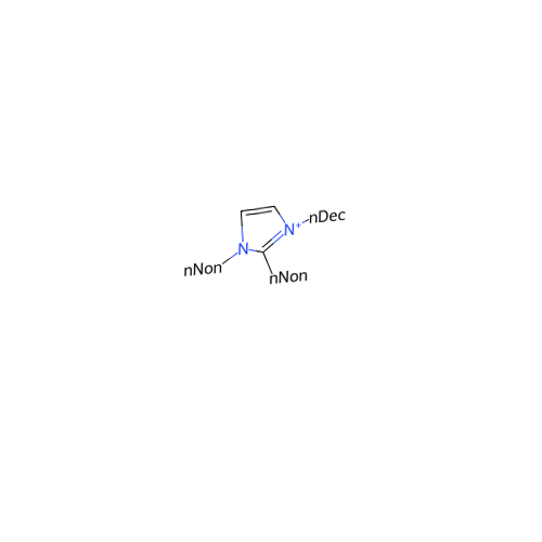 CCCCCCCCCC[n+]1ccn(CCCCCCCCC)c1CCCCCCCCC